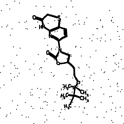 CC(C)(C)[Si](C)(C)OCCC1CN(c2ccc3c(n2)NC(=O)CS3)C(=O)O1